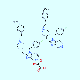 COc1ccc(CCN2CCC(Cc3nc4cnccc4n3Cc3ccc(F)cc3)CC2)cc1.COc1ccc(CCN2CCC(Cc3nc4cnccc4n3Cc3ccc(F)cc3)CC2)cc1.O=C(O)C(=O)O